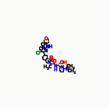 C=N/C(=N\C(=C(/C)Cl)c1ccc2c(c1)S(=O)(=O)N([C@H](C)C(=O)N[C@H](CO)c1cccc(N(C)C)n1)C2)NC1CCOCC1